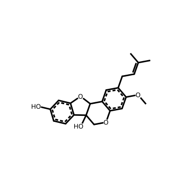 COc1cc2c(cc1CC=C(C)C)C1Oc3cc(O)ccc3C1(O)CO2